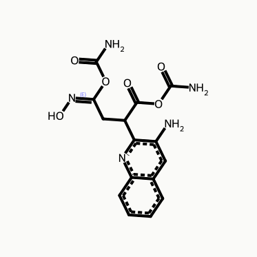 NC(=O)OC(=O)C(C/C(=N\O)OC(N)=O)c1nc2ccccc2cc1N